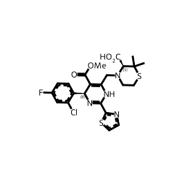 COC(=O)C1=C(CN2CCSC(C)(C)[C@@H]2C(=O)O)NC(c2nccs2)=N[C@H]1c1ccc(F)cc1Cl